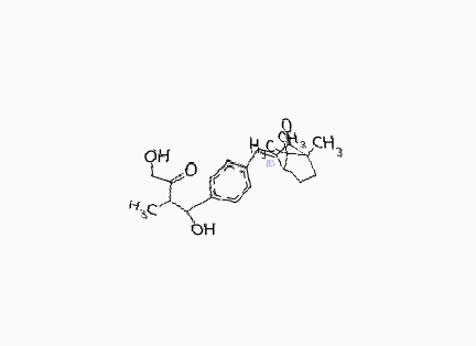 CC(C(=O)CO)C(O)c1ccc(/C=C2/C(=O)C3(C)CCC2C3(C)C)cc1